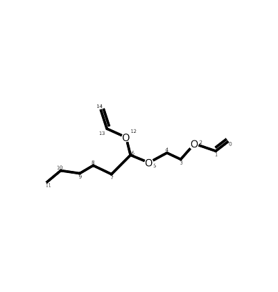 C=COCCOC(CCCCC)OC=C